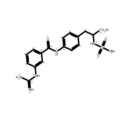 CCCCS(=O)(=O)NC(Cc1ccc(NC(=O)c2cccc(NC(=N)N)c2)cc1)C(=O)OCC